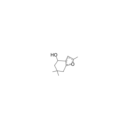 Cc1cc2c(o1)CC(C)(C)CC2O